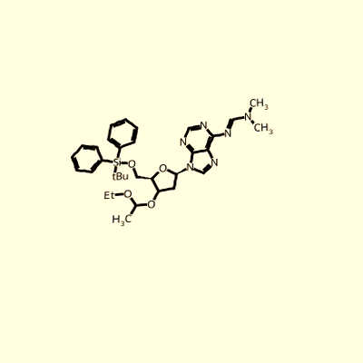 CCOC(C)OC1C[C@H](n2cnc3c(/N=C/N(C)C)ncnc32)O[C@@H]1CO[Si](c1ccccc1)(c1ccccc1)C(C)(C)C